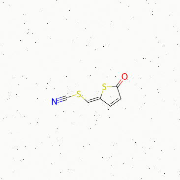 N#CS/C=C1/C=CC(=O)S1